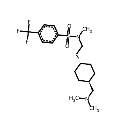 CN(C)C[C@H]1CC[C@H](CCN(C)S(=O)(=O)c2ccc(C(F)(F)F)cc2)CC1